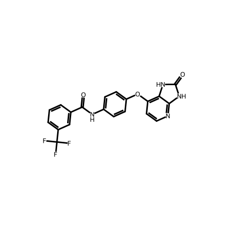 O=C(Nc1ccc(Oc2ccnc3[nH]c(=O)[nH]c23)cc1)c1cccc(C(F)(F)F)c1